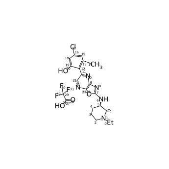 CCN1CCC[C@@H](Nc2nc3nc(-c4c(C)cc(Cl)cc4O)cnc3o2)C1.O=C(O)C(F)(F)F